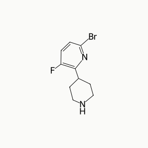 Fc1ccc(Br)nc1C1CCNCC1